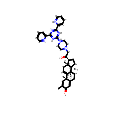 CC1=C[C@@]2(C)C(=CC1=O)CC[C@@H]1C2=CC[C@]2(C)[C@@H](C(=O)CN3CCN(c4nc(-c5ccccn5)nc(-c5ccccn5)n4)CC3)CC[C@@H]12